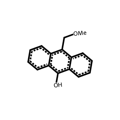 COCc1c2ccccc2c(O)c2ccccc12